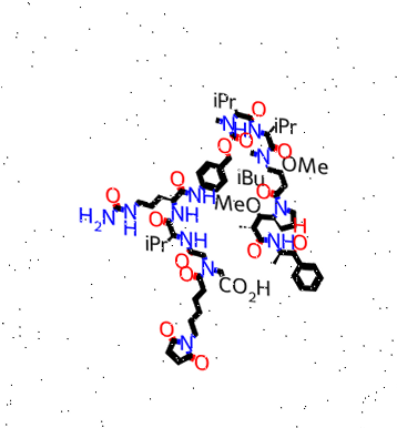 CC[C@H](C)[C@@H]([C@@H](CC(=O)N1CCC[C@H]1[C@H](OC)[C@@H](C)C(=O)N[C@H](C)[C@@H](O)c1ccccc1)OC)N(C)C(=O)[C@@H](NC(=O)[C@H](C(C)C)N(C)C(=O)OCc1ccc(NC(=O)[C@H](CCCNC(N)=O)NC(=O)[C@@H](NC(=O)CN(CC(=O)O)C(=O)CCCCCN2C(=O)C=CC2=O)C(C)C)cc1)C(C)C